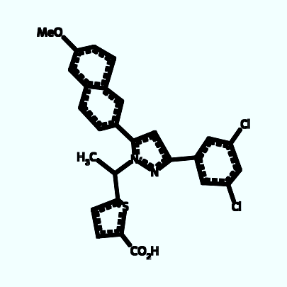 COc1ccc2cc(-c3cc(-c4cc(Cl)cc(Cl)c4)nn3C(C)c3ccc(C(=O)O)s3)ccc2c1